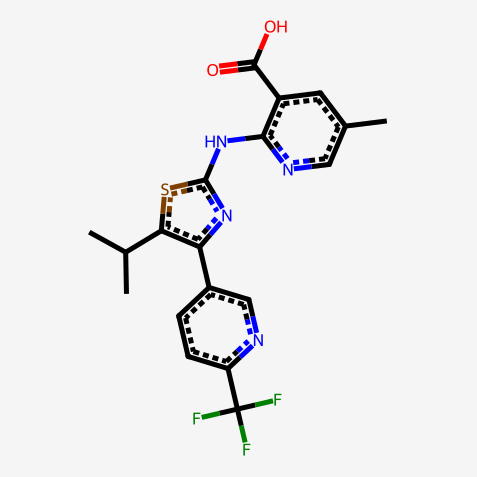 Cc1cnc(Nc2nc(-c3ccc(C(F)(F)F)nc3)c(C(C)C)s2)c(C(=O)O)c1